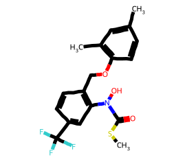 CSC(=O)N(O)c1cc(C(F)(F)F)ccc1COc1ccc(C)cc1C